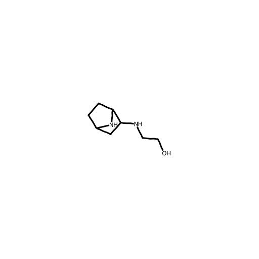 OCCNC1CC2CCC1N2